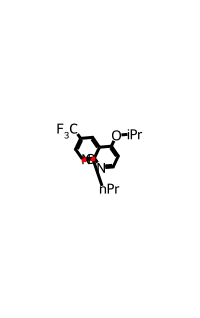 CCCC1CN=C2C=C(C(F)(F)F)C=C3C(OC(C)C)=CC=NC32O1